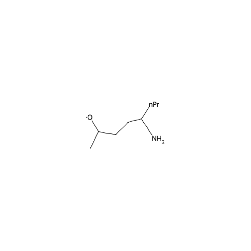 CCCC(N)CCC(C)[O]